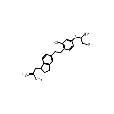 C=C(C)CC1CCc2cc(CCc3ccc(SC(CC(C)C)C(C)C)cc3Cl)ccc21